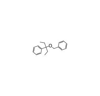 CCC(CC)(OCc1ccccc1)c1ccccc1